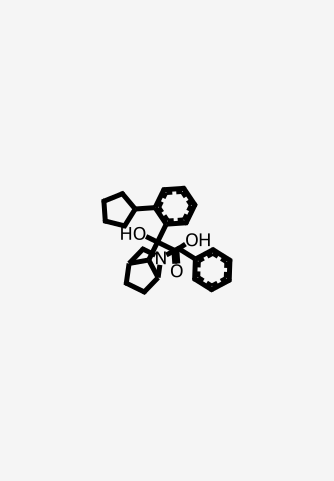 O=C(O)C(O)(c1ccccc1C1CCCC1)C1C2CCC1N(Cc1ccccc1)C2